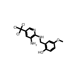 COc1ccc(O)c(CNc2ncc(C(Cl)(Cl)Cl)cc2N)c1